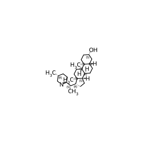 C[C@@H]1CCC([C@@H](C)[C@H]2CC[C@H]3[C@@H]4CC[C@H]5C[C@@H](O)CC[C@]5(C)[C@H]4CC[C@]23C)=NC1